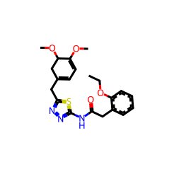 CCOc1ccccc1CC(=O)Nc1nnc(CC2=CC=C(OC)C(OC)C2)s1